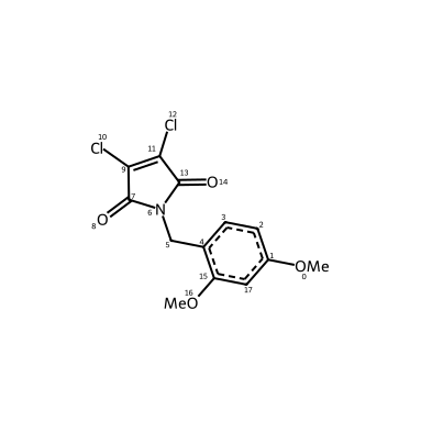 COc1ccc(CN2C(=O)C(Cl)=C(Cl)C2=O)c(OC)c1